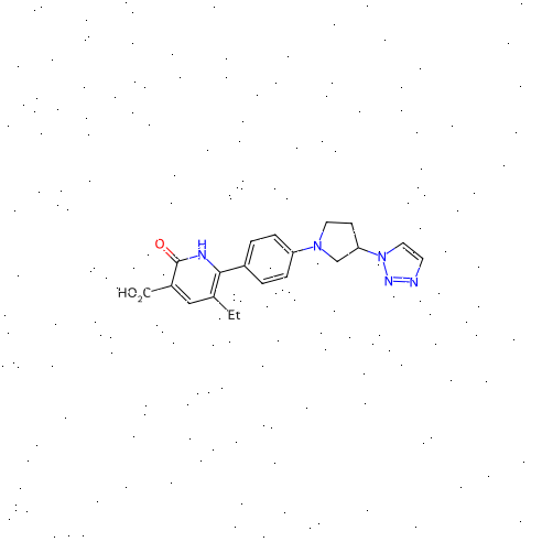 CCc1cc(C(=O)O)c(=O)[nH]c1-c1ccc(N2CCC(n3ccnn3)C2)cc1